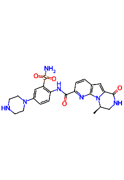 C[C@@H]1CNC(=O)c2cc3ccc(C(=O)Nc4ccc(N5CCNCC5)cc4S(N)(=O)=O)nc3n21